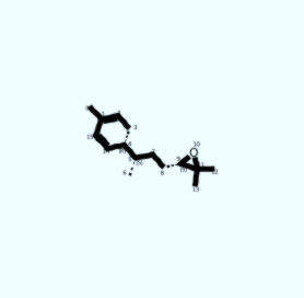 CC1=CC[C@H]([C@@H](C)CC[C@@H]2OC2(C)C)C=C1